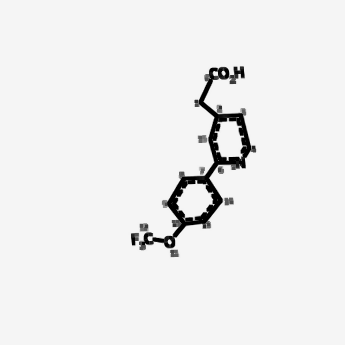 O=C(O)Cc1ccnc(-c2ccc(OC(F)(F)F)cc2)c1